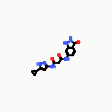 O=C(CC(=O)Nc1cc(C2CC2)[nH]n1)Nc1ccc2c(=O)[nH][nH]c2c1